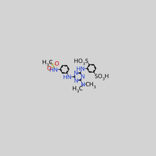 CN(C)c1nc(Nc2cccc(NS(C)(=O)=O)c2)nc(Nc2cc(S(=O)(=O)O)ccc2S(=O)(=O)O)n1